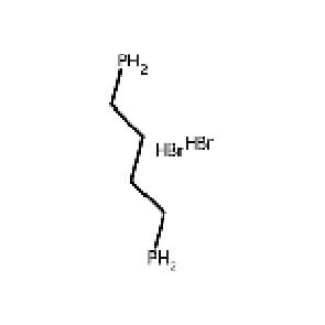 Br.Br.PCCCCP